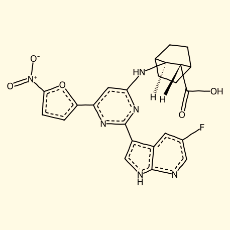 O=C(O)[C@H]1C2CCC(CC2)[C@@H]1Nc1cc(-c2ccc([N+](=O)[O-])o2)nc(-c2c[nH]c3ncc(F)cc23)n1